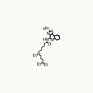 CCCc1nc2c(NC(=O)CCCCCN(CC)CCCN(CC)CC)nc3ccccc3c2s1